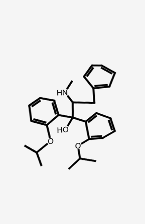 CNC(Cc1ccccc1)C(O)(c1ccccc1OC(C)C)c1ccccc1OC(C)C